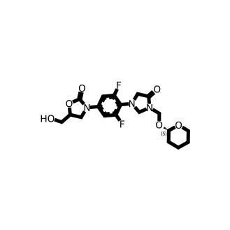 O=C1CN(c2c(F)cc(N3CC(CO)OC3=O)cc2F)CN1CO[C@H]1CCCCO1